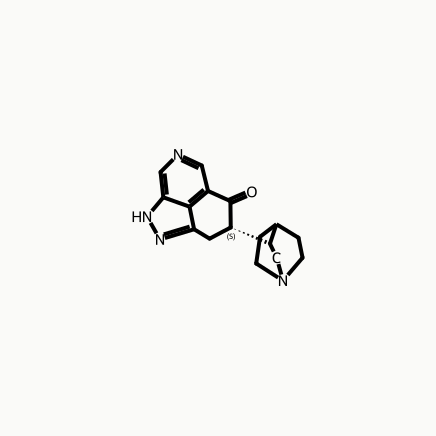 O=C1c2cncc3[nH]nc(c23)C[C@H]1C1CN2CCC1CC2